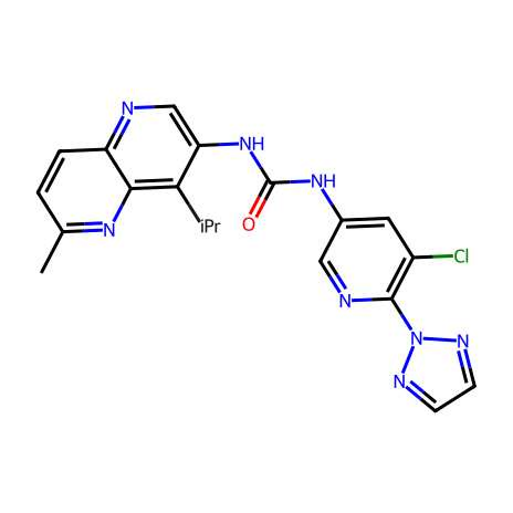 Cc1ccc2ncc(NC(=O)Nc3cnc(-n4nccn4)c(Cl)c3)c(C(C)C)c2n1